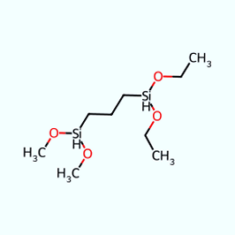 CCO[SiH](CCC[SiH](OC)OC)OCC